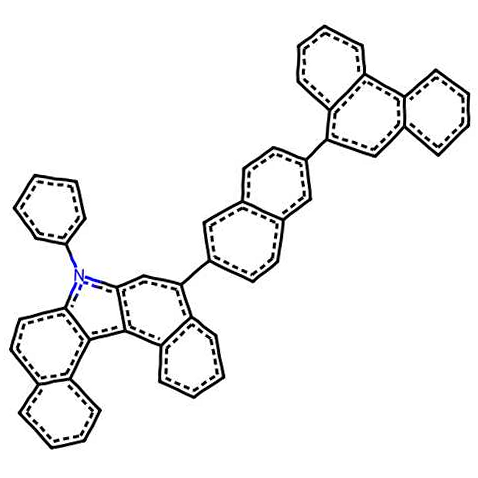 c1ccc(-n2c3ccc4ccccc4c3c3c4ccccc4c(-c4ccc5cc(-c6cc7ccccc7c7ccccc67)ccc5c4)cc32)cc1